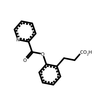 O=C(O)CCc1ccccc1OC(=O)c1ccccn1